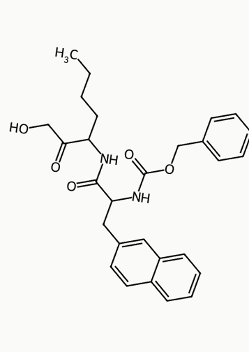 CCCCC(NC(=O)C(Cc1ccc2ccccc2c1)NC(=O)OCc1ccccc1)C(=O)CO